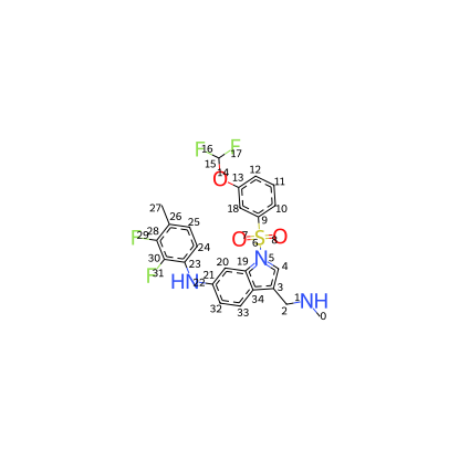 CNCc1cn(S(=O)(=O)c2cccc(OC(F)F)c2)c2cc(Nc3ccc(C)c(F)c3F)ccc12